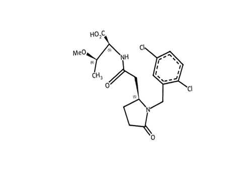 CO[C@H](C)[C@H](NC(=O)C[C@@H]1CCC(=O)N1Cc1cc(Cl)ccc1Cl)C(=O)O